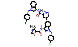 Cc1ncsc1C(=O)Nc1cn(Cc2ccc(F)cc2)c2ccc(-c3cnnc(C(=O)Nc4cn(Cc5ccc(F)cc5)c5ccccc45)c3)cc12